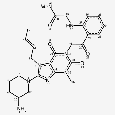 CC=CCn1c(N2CCCC(N)C2)nc2c1c(=O)n(CC(=O)c1ccccc1NCC(=O)NC)c(=O)n2C